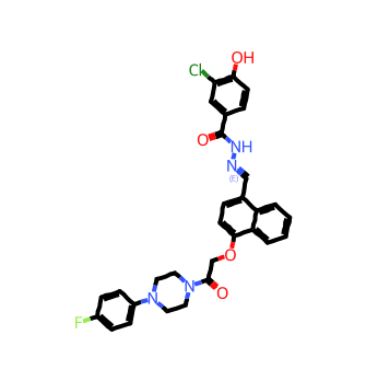 O=C(N/N=C/c1ccc(OCC(=O)N2CCN(c3ccc(F)cc3)CC2)c2ccccc12)c1ccc(O)c(Cl)c1